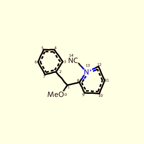 COC(c1ccccc1)c1cccc[n+]1C#N